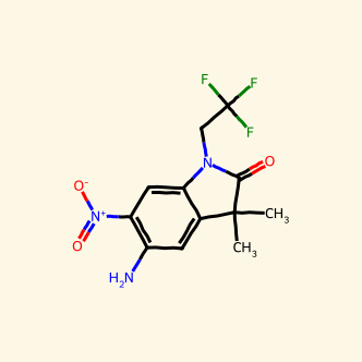 CC1(C)C(=O)N(CC(F)(F)F)c2cc([N+](=O)[O-])c(N)cc21